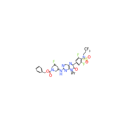 CC(C)n1c(=O)c(-c2cc(F)c(N(CCC(F)(F)F)[SH](=O)=O)c(F)c2)nc2cnc(N[C@H]3C[C@H](F)CN(C(=O)OCc4ccccc4)C3)nc21